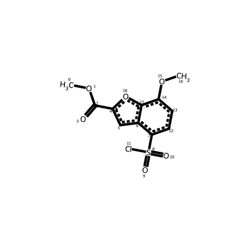 COC(=O)c1cc2c(S(=O)(=O)Cl)ccc(OC)c2o1